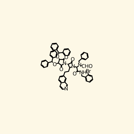 O=CN(Cc1ccccc1)C(C(=O)NCc1ccccc1Br)N1C(=O)[C@@H](N2C(=O)C(OC(c3ccccc3)c3ccccc3)C(OC(c3ccccc3)c3ccccc3)C2=O)C1CCc1ccc2ccncc2c1